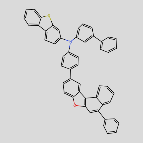 c1ccc(-c2cccc(N(c3ccc(-c4ccc5oc6cc(-c7ccccc7)c7ccccc7c6c5c4)cc3)c3ccc4c(c3)sc3ccccc34)c2)cc1